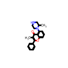 Cc1c(-c2ccccc2)oc2cccc(N3CCNCC3C)c2c1=O